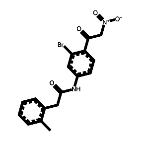 Cc1ccccc1CC(=O)Nc1ccc(C(=O)C[N+](=O)[O-])c(Br)c1